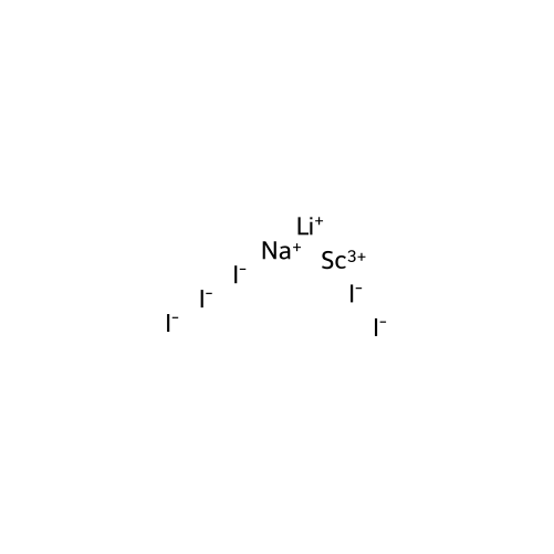 [I-].[I-].[I-].[I-].[I-].[Li+].[Na+].[Sc+3]